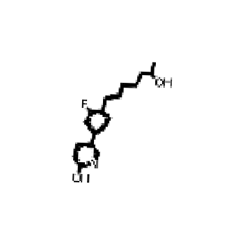 CC(O)CCC/C=C/c1ccc(-c2ccc(O)nc2)cc1F